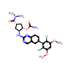 COc1cc(OC)c(Cl)c(-c2ccc3nc(N[C@H]4C[C@H](C(=O)N(C)C)C[C@@H]4OC(N)=O)ncc3c2)c1Cl